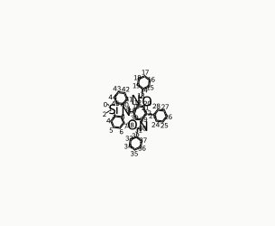 C[Si]1(C)c2ccccc2N(c2c3nc(-c4ccccc4)oc3c(-c3ccccc3)c3nc(-c4ccccc4)oc23)c2ccccc21